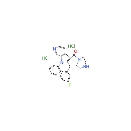 Cc1c(F)cccc1Cc1c(C(=O)N2CCNCC2)c2ccncc2n1-c1ccccc1.Cl.Cl